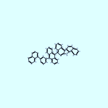 c1cc(-c2cccc3ccccc23)cc(-c2c3ccccc3c(-c3cc4oc5c6ccccc6ccc5c4c4ccccc34)c3ccccc23)c1